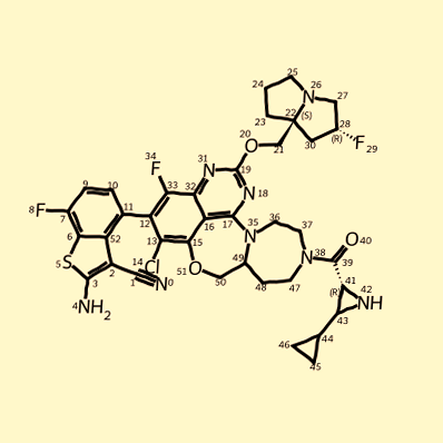 N#Cc1c(N)sc2c(F)ccc(-c3c(Cl)c4c5c(nc(OC[C@@]67CCCN6C[C@H](F)C7)nc5c3F)N3CCN(C(=O)[C@@H]5NC5C5CC5)CCC3CO4)c12